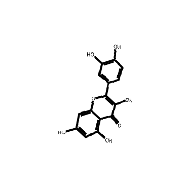 O=c1c(S)c(-c2ccc(O)c(O)c2)oc2cc(O)cc(O)c12